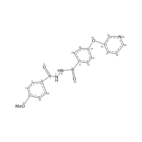 COc1ccc(C(=O)NNC(=O)c2ccc(Oc3cccnc3)cc2)cc1